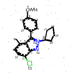 COc1ccc(-c2c3c(C)ccc(Cl)c3nn2C2CCCC2)cc1